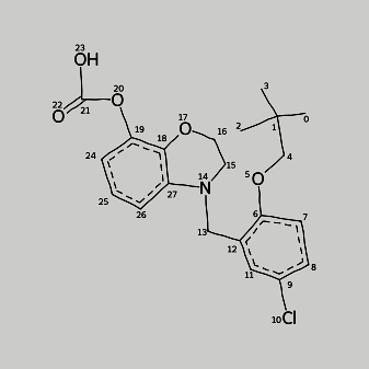 CC(C)(C)COc1ccc(Cl)cc1CN1CCOc2c(OC(=O)O)cccc21